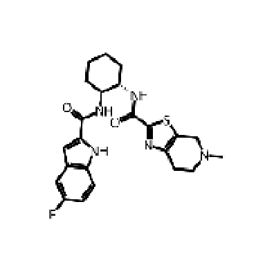 CN1CCc2nc(C(=O)N[C@H]3CCCC[C@@H]3NC(=O)c3cc4cc(F)ccc4[nH]3)sc2C1